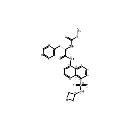 CC(C)(C)OC(=O)N[C@@H](Cc1ccccc1)C(=O)Nc1cccc2c(S(=O)(=O)NC3COC3)cccc12